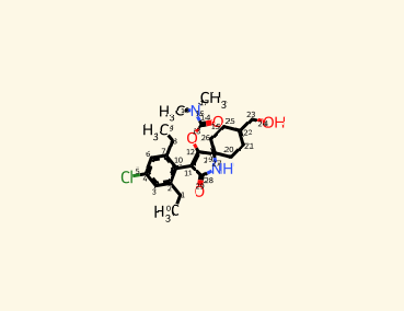 CCc1cc(Cl)cc(CC)c1C1=C(OC(=O)N(C)C)C2(CCC(CO)CC2)NC1=O